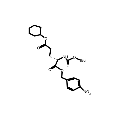 CC(C)(C)OC(=O)N[C@@H](CCC(=O)OC1CCCCC1)C(=O)OCc1ccc([N+](=O)[O-])cc1